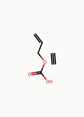 C#C.C=CCOC(=O)O